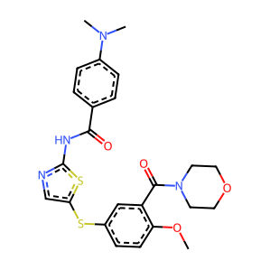 COc1ccc(Sc2cnc(NC(=O)c3ccc(N(C)C)cc3)s2)cc1C(=O)N1CCOCC1